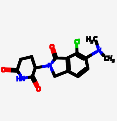 CN(C)c1ccc2c(c1Cl)C(=O)N(C1CCC(=O)NC1=O)C2